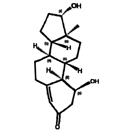 C[C@]12CC[C@H]3[C@@H](CCC4=CC(=O)C[C@H](O)[C@@H]43)[C@@H]1CC[C@@H]2O